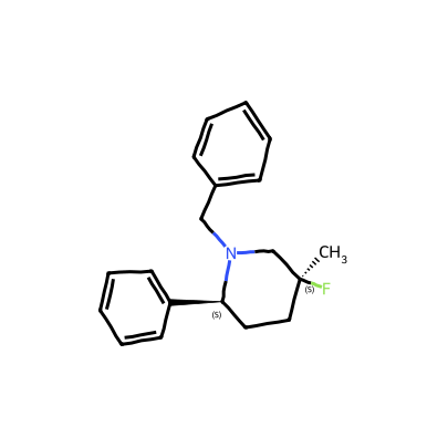 C[C@]1(F)CC[C@@H](c2ccccc2)N(Cc2ccccc2)C1